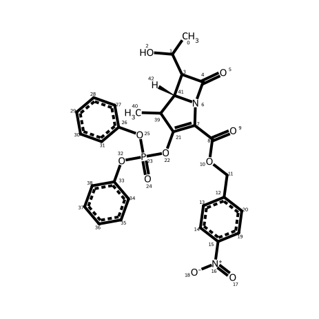 CC(O)C1C(=O)N2C(C(=O)OCc3ccc([N+](=O)[O-])cc3)=C(OP(=O)(Oc3ccccc3)Oc3ccccc3)C(C)[C@H]12